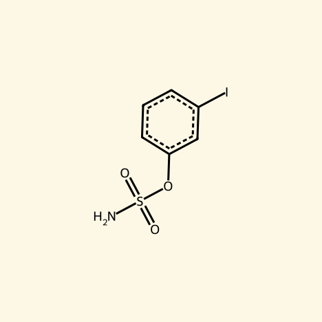 NS(=O)(=O)Oc1cccc(I)c1